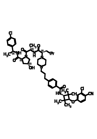 CC(C)C[C@@H](C(=O)N[C@@H](C)C(=O)N1C[C@H](O)C[C@H]1C(=O)N[C@@H](C)c1ccc(Cl)cc1)N1CCN(CCCc2ccc(C(=O)N[C@H]3C(C)(C)[C@H](Oc4ccc(C#N)c(Cl)c4)C3(C)C)cc2)CC1